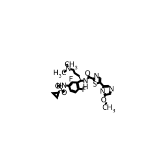 CCOc1cncc(-c2cnc(C(=O)N[C@H](CCCN(C)C)c3c(F)ccc(NS(=O)(=O)C4CC4)c3F)s2)n1